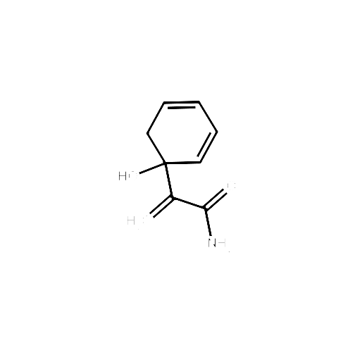 C=C(C(N)=O)C1(O)[CH]C=CC=C1